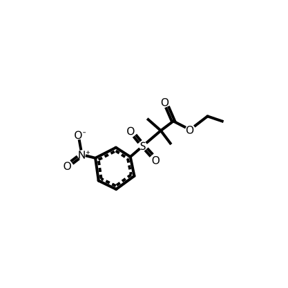 CCOC(=O)C(C)(C)S(=O)(=O)c1cccc([N+](=O)[O-])c1